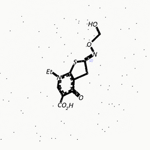 CCn1cc(C(=O)O)c(=O)c2c1S/C(=N\OCO)C2